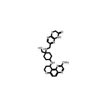 COc1cnc2ccc3c(c2n1)C(NC1CCC(CO)(NCc2cnc4c(n2)NC(=O)CS4)CC1)CCO3